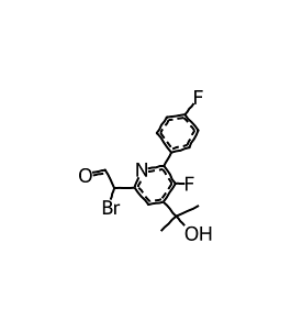 CC(C)(O)c1cc(C(Br)C=O)nc(-c2ccc(F)cc2)c1F